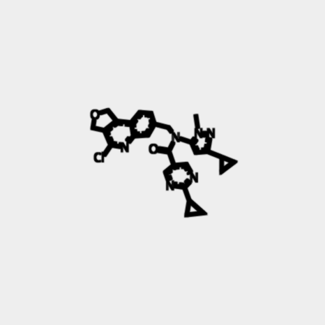 Cn1nc(C2CC2)cc1N(Cc1ccc2c3c(c(Cl)nc2c1)COC3)C(=O)c1cnc(C2CC2)nc1